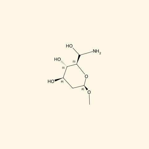 CO[C@H]1C[C@@H](O)[C@H](O)[C@@H](C(N)O)O1